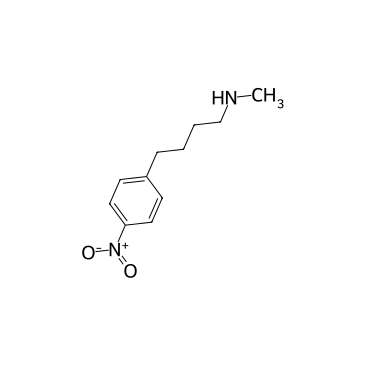 CNCCCCc1ccc([N+](=O)[O-])cc1